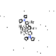 CC(C)c1cc(N(c2ccccc2)c2ccccc2)cc2c1-c1cc(C(C)C)c3c(c1C2(C)C)C(C)(C)C1C=C(N(c2ccccc2)c2ccccc2)C=CC31